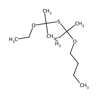 CCCCOC(C)(C)SC(C)(C)OCC